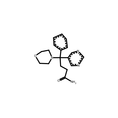 NC(=O)CCC(c1ccccc1)(c1cncnc1)N1CCOCC1